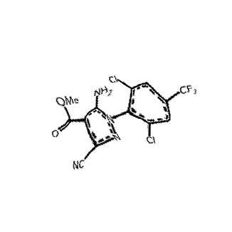 COC(=O)c1c(C#N)nn(-c2c(Cl)cc(C(F)(F)F)cc2Cl)c1N